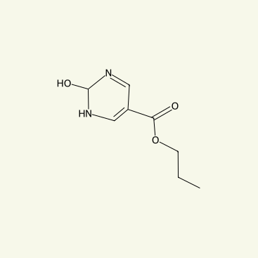 CCCOC(=O)C1=CNC(O)N=C1